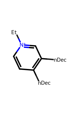 CCCCCCCCCCc1cc[n+](CC)cc1CCCCCCCCCC